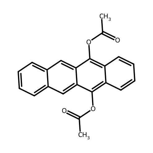 CC(=O)Oc1c2ccccc2c(OC(C)=O)c2cc3ccccc3cc12